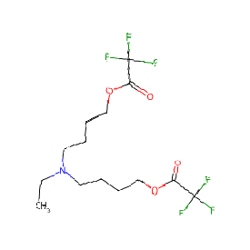 CCN(CCCCOC(=O)C(F)(F)F)CCCCOC(=O)C(F)(F)F